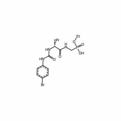 CCC[C@H](NC(=O)Nc1ccc(Br)cc1)C(=O)NCP(=O)(O)OCC